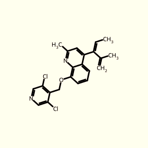 C=C(C)/C(=C\C)c1cc(C)nc2c(OCc3c(Cl)cncc3Cl)cccc12